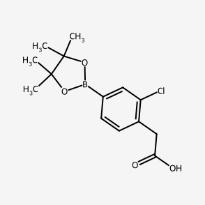 CC1(C)OB(c2ccc(CC(=O)O)c(Cl)c2)OC1(C)C